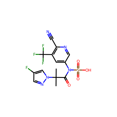 CC(C)(C(=O)N(c1cnc(C#N)c(C(F)(F)F)c1)S(=O)(=O)O)n1cc(F)cn1